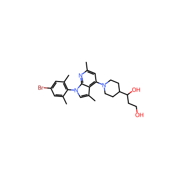 Cc1cc(N2CCC(C(O)CCO)CC2)c2c(C)cn(-c3c(C)cc(Br)cc3C)c2n1